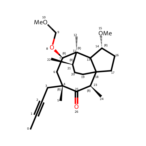 CC#CC[C@]1(C)C[C@@H](OCOC)[C@@]2(C)C3[C@H](OC)CCC3(CC[C@H]2C)[C@@H](C)C1=O